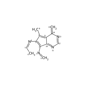 C=NC1=C(/N=C\C)C(C)=c2c1ncnc2=C